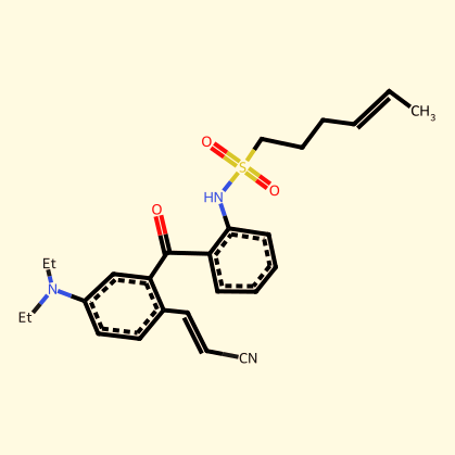 CC=CCCCS(=O)(=O)Nc1ccccc1C(=O)c1cc(N(CC)CC)ccc1C=CC#N